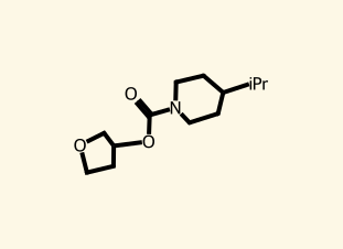 CC(C)C1CCN(C(=O)OC2CCOC2)CC1